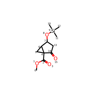 COC(=O)C12CC1C(O[Si](C)(C)C)CC2=O